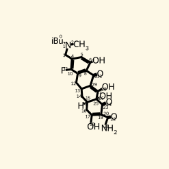 CC[C@@H](C)N(C)Cc1cc(O)c2c(c1F)CC1C[C@H]3CC(O)=C(C(N)=O)C(=O)[C@@]3(O)C(O)=C1C2=O